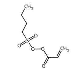 C=CC(=O)OOS(=O)(=O)CCCC